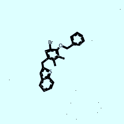 Cc1c(Cc2cc3ccccc3s2)cc(Br)c(OCc2ccccc2)c1C